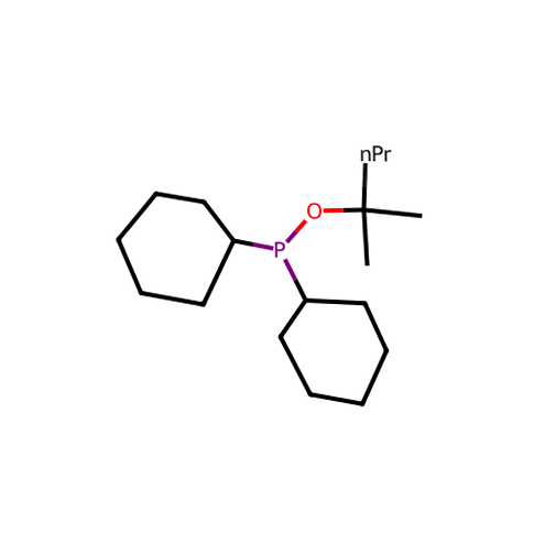 CCCC(C)(C)OP(C1CCCCC1)C1CCCCC1